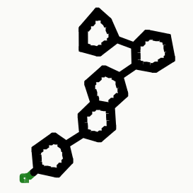 Clc1ccc(-c2ccc3cc(-c4ccccc4-c4ccccc4)ccc3c2)cc1